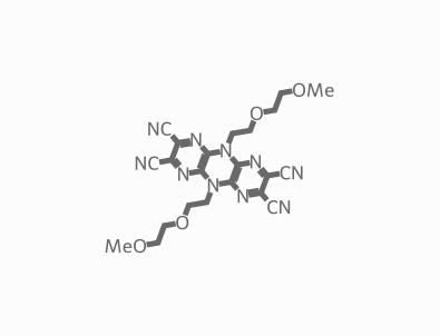 COCCOCCN1c2nc(C#N)c(C#N)nc2N(CCOCCOC)c2nc(C#N)c(C#N)nc21